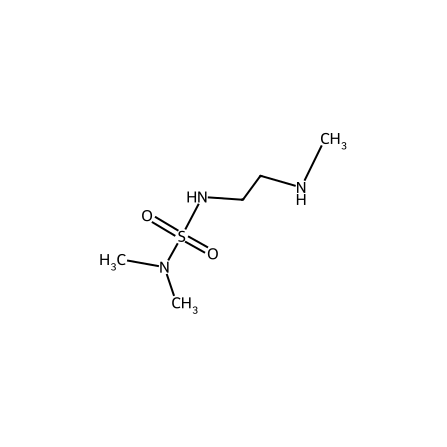 CNCCNS(=O)(=O)N(C)C